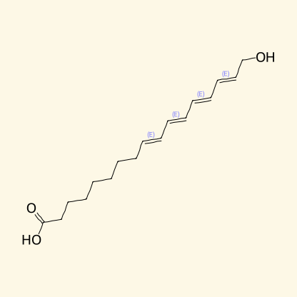 O=C(O)CCCCCCC/C=C/C=C/C=C/C=C/CO